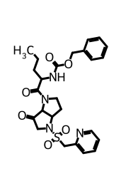 CCCC(NC(=O)OCc1ccccc1)C(=O)N1CCC2C1C(=O)CN2S(=O)(=O)Cc1ccccn1